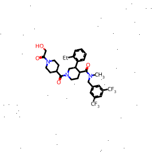 CCc1ccccc1C1CN(C(=O)C2CCN(C(=O)CO)CC2)CCC1C(=O)N(C)Cc1cc(C(F)(F)F)cc(C(F)(F)F)c1